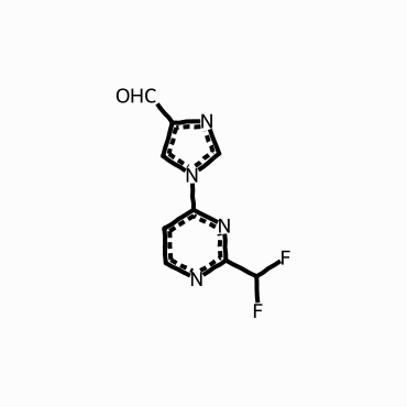 O=Cc1cn(-c2ccnc(C(F)F)n2)cn1